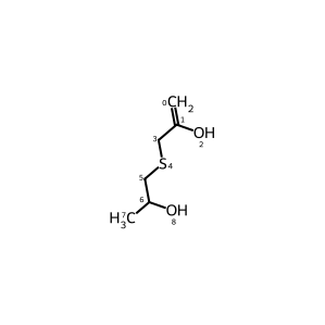 C=C(O)CSCC(C)O